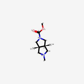 COC(=O)N1C[C@H]2CN(C)C[C@H]2C1